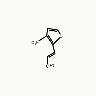 O=CC=Cc1sccc1[N+](=O)[O-]